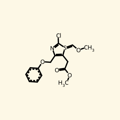 COC=S1C(Cl)=NC(COc2ccccc2)=C1CC(=O)OC